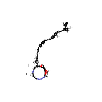 CO[C@H]1C[C@@H]2CC[C@@H](C)[C@@](O)(O2)C(=O)C(=O)N2CCCC[C@H]2C(=O)O[C@H]([C@H](N)C[C@@H]2CC[C@@H](OC(=O)NCCOCCC(=O)NCc3cnc(N4CCN(C(=O)CCOCCN5CCN(c6ncc(C(=O)NCCCCn7nc(-c8cnc9[nH]ccc9c8)c8c(N)ncnc87)cn6)CC5)CC4)nc3)[C@H](OC)C2)CC(=O)[C@H](C)/C=C(\C)[C@@H](O)[C@@H](O)C(=O)[C@H](C)C[C@H](C)/C=C/C=C/C=C/1C